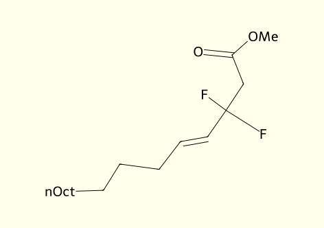 CCCCCCCCCCC/C=C/C(F)(F)CC(=O)OC